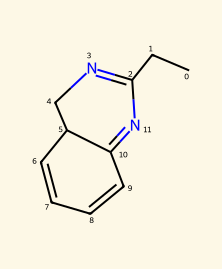 CCC1=NCC2C=CC=CC2=N1